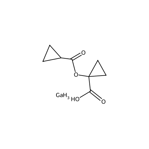 O=C(OC1(C(=O)O)CC1)C1CC1.[GaH3]